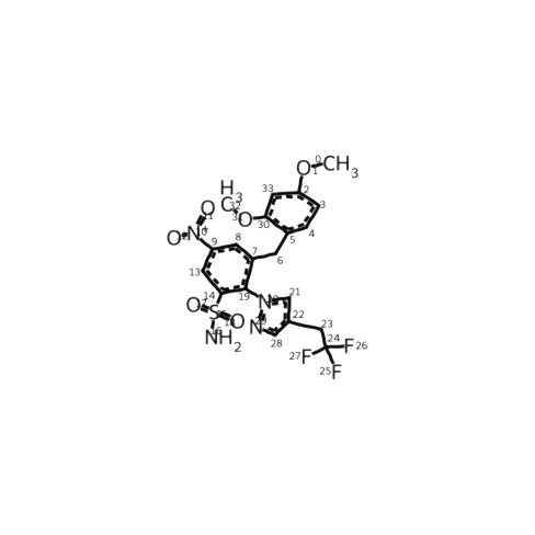 COc1ccc(Cc2cc([N+](=O)[O-])cc(S(N)(=O)=O)c2-n2cc(CC(F)(F)F)cn2)c(OC)c1